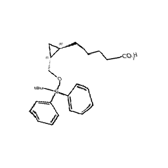 CC(C)(C)[Si](OC[C@@H]1C[C@H]1CCCCC(=O)O)(c1ccccc1)c1ccccc1